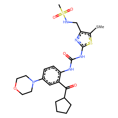 CSc1sc(NC(=O)Nc2ccc(N3CCOCC3)cc2C(=O)C2CCCC2)nc1CNS(C)(=O)=O